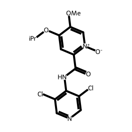 COc1c[n+]([O-])c(C(=O)Nc2c(Cl)cncc2Cl)cc1OC(C)C